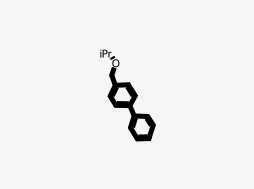 CC(C)OCc1ccc(-c2ccccc2)cc1